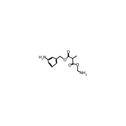 CC(C(=O)OCN)C(=O)OCc1cccc(N)c1